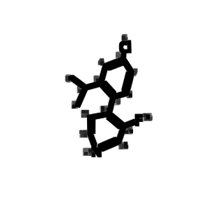 CC(C)c1cc(Cl)ccc1-c1ccncc1F